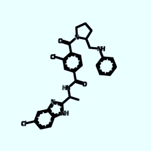 CC(NC(=O)c1ccc(C(=O)N2CCCC2CNc2ccccc2)c(Cl)c1)c1nc2cc(Cl)ccc2[nH]1